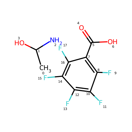 CC(N)O.O=C(O)c1c(F)c(F)c(F)c(F)c1F